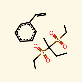 C=Cc1ccccc1.CCC(C)(S(=O)(=O)CC)S(=O)(=O)CC